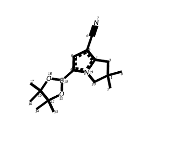 CC1(C)Cc2c(C#N)cc(B3OC(C)(C)C(C)(C)O3)n2C1